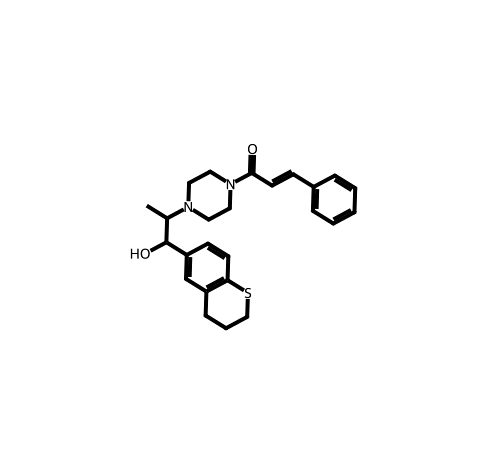 CC(C(O)c1ccc2c(c1)CCCS2)N1CCN(C(=O)C=Cc2ccccc2)CC1